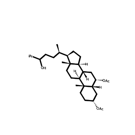 CC(=O)O[C@@H]1CC[C@]2(C)[C@H]3CC[C@]4(C)[C@@H]([C@H](C)CCC(O)C(C)C)CC[C@H]4[C@@H]3C[C@H](OC(C)=O)[C@@H]2C1